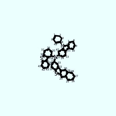 C1=CCCC(n2c3ccccc3c3ccc(N(c4ccc5sc6cc7ccccc7cc6c5c4)c4cccc5sc6ccccc6c45)cc32)=C1